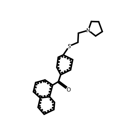 O=C(c1ccc(SCCN2CCCC2)cc1)c1cccc2ccccc12